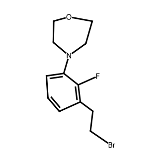 Fc1c(CCBr)cccc1N1CCOCC1